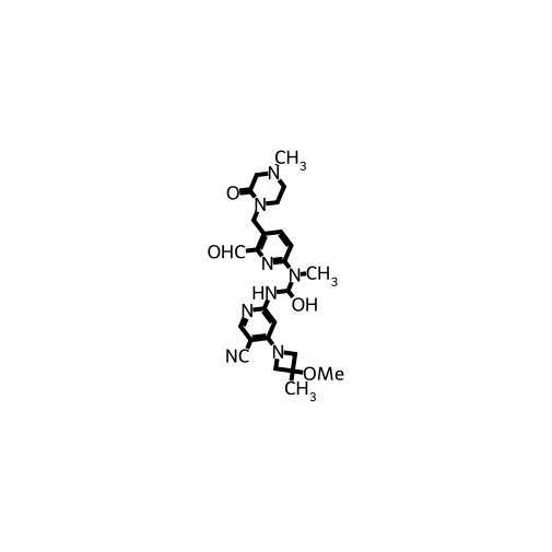 COC1(C)CN(c2cc(NC(O)N(C)c3ccc(CN4CCN(C)CC4=O)c(C=O)n3)ncc2C#N)C1